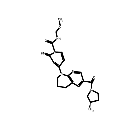 COCNC(=O)n1ccc(N2CCCc3cc(C(=O)N4CC[C@@H](C)C4)cnc32)cc1=N